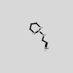 N=CCOP1SCCCS1